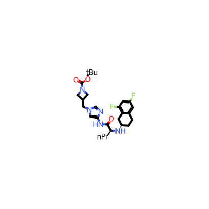 CCC[C@H](N[C@H]1CCc2cc(F)cc(F)c2C1)C(=O)Nc1cn(CC2CN(C(=O)OC(C)(C)C)C2)cn1